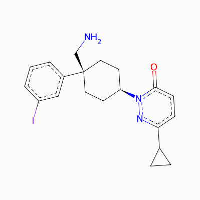 NC[C@]1(c2cccc(I)c2)CC[C@H](n2nc(C3CC3)ccc2=O)CC1